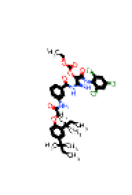 CCOC(=O)Oc1c(NC(=O)c2cccc(NC(=O)COc3ccc(C(C)(C)CC)cc3C(C)(C)CC)c2)[nH]n(-c2c(Cl)cc(Cl)cc2Cl)c1=O